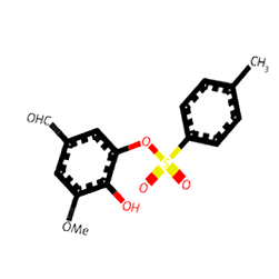 COc1cc(C=O)cc(OS(=O)(=O)c2ccc(C)cc2)c1O